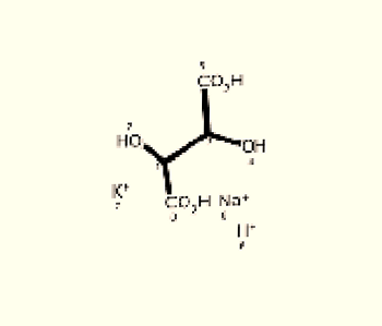 O=C(O)C(O)C(O)C(=O)O.[H+].[K+].[Na+]